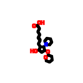 O=C(O)CCC/C=C/CC1C(O)CC(OC2CCCCO2)C1N1CCCCC1